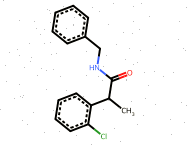 C[C](C(=O)NCc1ccccc1)c1ccccc1Cl